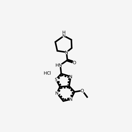 COc1ncnc2sc(NC(=O)N3CCNCC3)nc12.Cl